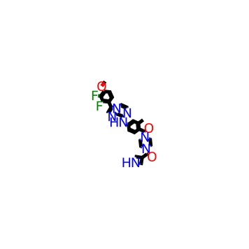 COc1ccc(-c2cnc3c(Nc4ccc(C(=O)N5CCN(C(=O)C6CNC6)CC5)c(C)c4)nccn23)c(F)c1F